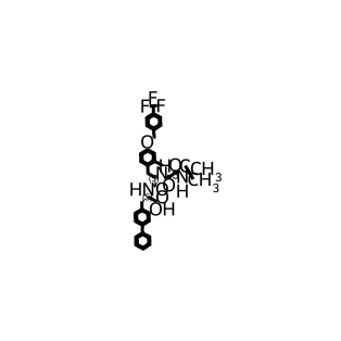 CC(C)(C)NC(=O)C(=O)N1Cc2cc(OCc3ccc(C(F)(F)F)cc3)ccc2C[C@H]1C(=O)N[C@@H](Cc1ccc(-c2ccccc2)cc1)C(=O)O